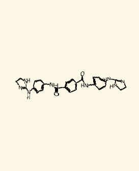 O=C(Nc1ccc(NC2=NCCN2)cc1)c1ccc(C(=O)Nc2ccc(NC3=NCCN3)cc2)cc1